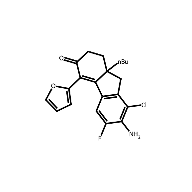 CCCCC12CCC(=O)C(c3ccco3)=C1c1cc(F)c(N)c(Cl)c1C2